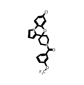 O=C(c1cccc(OC(F)(F)F)c1)N1CCC2(CC1)Oc1cc(Cl)ccc1-n1cccc12